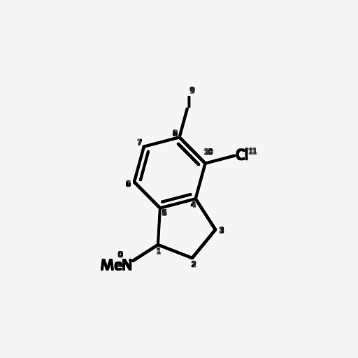 CNC1CCc2c1ccc(I)c2Cl